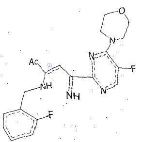 CC(=O)/C(=C/C(=N)c1ncc(F)c(N2CCOCC2)n1)NCc1ccccc1F